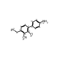 CC(C)Cc1ccc(-c2ccc(N)cc2)c(Cl)c1C#N